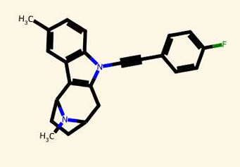 Cc1ccc2c(c1)c1c(n2C#Cc2ccc(F)cc2)CC2CCC1N2C